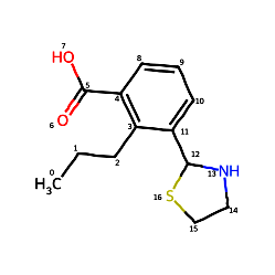 CCCc1c(C(=O)O)cccc1C1NCCS1